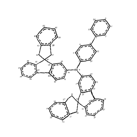 c1ccc(-c2ccc(N(c3ccc4c(c3)C3(Cc5ccccc5C3)c3ccccc3-4)c3ccc4c(c3)C3(Cc5ccccc5C3)c3ccccc3-4)cc2)cc1